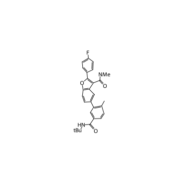 CNC(=O)c1c(-c2ccc(F)cc2)oc2ccc(-c3cc(C(=O)NC(C)(C)C)ccc3C)cc12